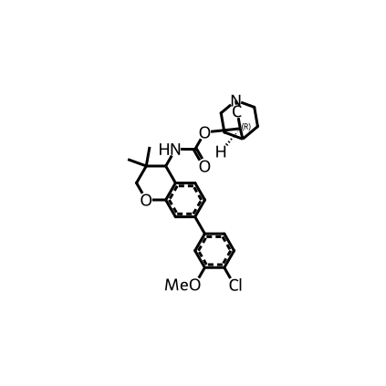 COc1cc(-c2ccc3c(c2)OCC(C)(C)C3NC(=O)O[C@H]2CN3CCC2CC3)ccc1Cl